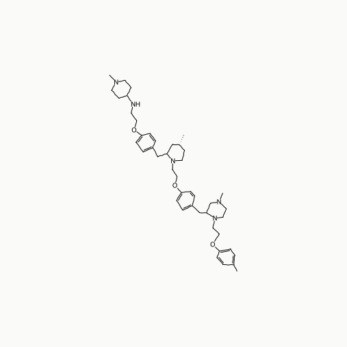 Cc1ccc(OCCN2CCN(C)CC2Cc2ccc(OCCN3CC[C@@H](C)CC3Cc3ccc(OCCNC4CCN(C)CC4)cc3)cc2)cc1